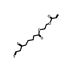 C=CC(=O)OCCOC(=O)CCCCC(=S)CC=S